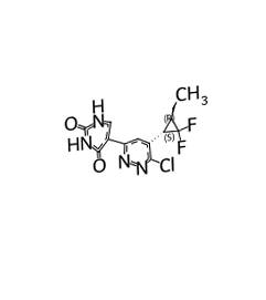 CC[C@@H]1[C@@H](c2cc(-c3c[nH]c(=O)[nH]c3=O)nnc2Cl)C1(F)F